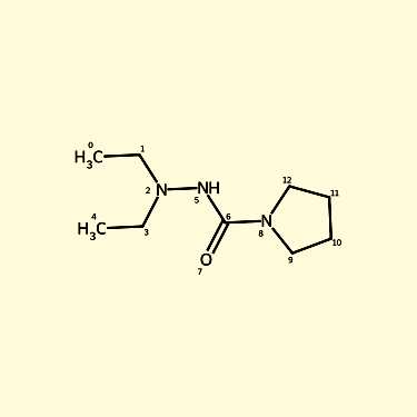 CCN(CC)NC(=O)N1CCCC1